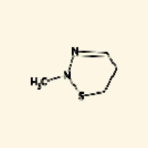 CN1N=CCCS1